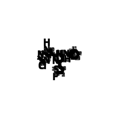 Fc1ccc(-c2cc(N[C@@H]3CC4CCC3CC4)nc(-c3c[nH]c4ncc(Cl)nc34)n2)s1